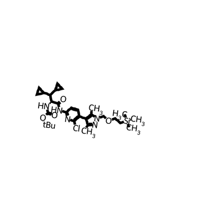 Cc1nn(COCC[Si](C)(C)C)c(C)c1-c1ccc(NC(=O)[C@@H](NC(=O)OC(C)(C)C)C(C2CC2)C2CC2)nc1Cl